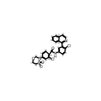 O=C(Nc1ccc(Cl)c(-c2nccc3ccccc23)c1)c1ccc(N2COCCS2(=O)=O)cc1Cl